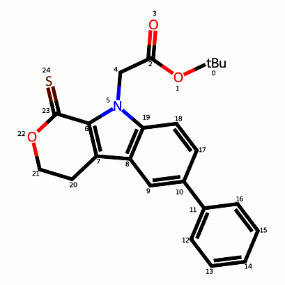 CC(C)(C)OC(=O)Cn1c2c(c3cc(-c4ccccc4)ccc31)CCOC2=S